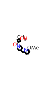 COc1cccc(CC2CCN(C(=O)[C@H]3C[C@@](C)(O)C3)CC2)n1